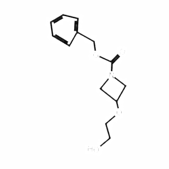 O=C(OCc1ccccc1)N1CC(OCCO)C1